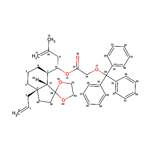 C=CC[C@@]12CCC[C@@H]([C@H](CC(=C)C)OC(=O)COC(c3ccccc3)(c3ccccc3)c3ccccc3)[C@@H]1C1(CC2)OCCO1